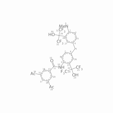 CNc1ccc(Cc2ccc(NC(=O)c3cc(C(C)=O)cc(C(C)=O)c3)c(C(O)(C(F)(F)F)C(F)(F)F)c2)cc1C(O)(C(F)(F)F)C(F)(F)F